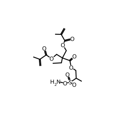 C=C(C)C(=O)OCC(CC)(COC(=O)C(=C)C)C(=O)OCC(C)S(=O)(=O)ON